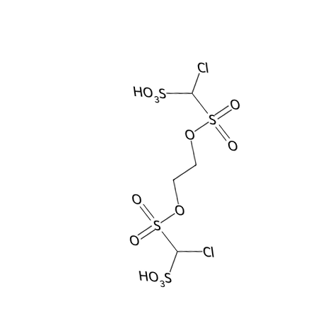 O=S(=O)(O)C(Cl)S(=O)(=O)OCCOS(=O)(=O)C(Cl)S(=O)(=O)O